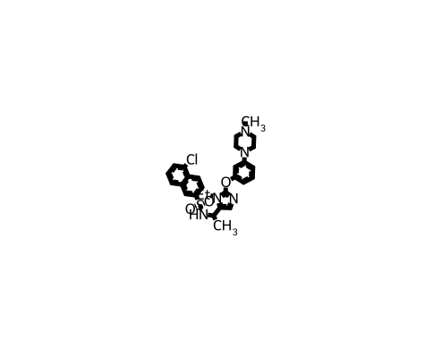 CCn1c(C(C)NS(=O)(=O)c2ccc3c(Cl)cccc3c2)cnc1Oc1cccc(N2CCN(C)CC2)c1